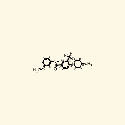 COc1cccc(NC(=O)c2ccc(N3CCC(C)CC3)c(C(F)(F)F)c2)c1